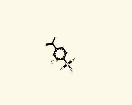 C=C(C)c1ccc(S(=O)(=O)[O-])cc1.[K+]